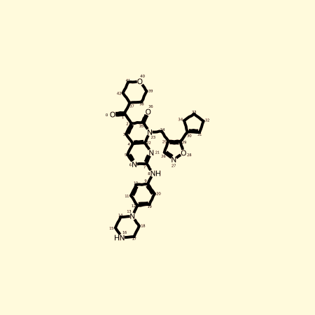 O=C(c1cc2cnc(Nc3ccc(N4CCNCC4)cc3)nc2n(Cc2cnoc2C2=CCCC2)c1=O)C1CCOCC1